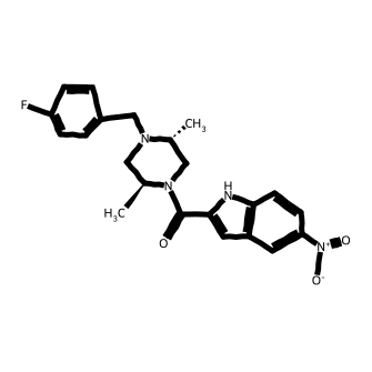 C[C@@H]1CN(C(=O)c2cc3cc([N+](=O)[O-])ccc3[nH]2)[C@@H](C)CN1Cc1ccc(F)cc1